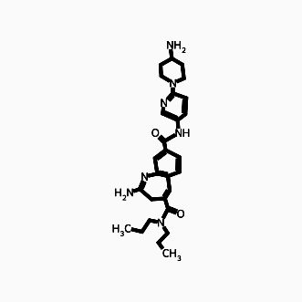 CCCN(CCC)C(=O)C1=Cc2ccc(C(=O)Nc3ccc(N4CCC(N)CC4)nc3)cc2N=C(N)C1